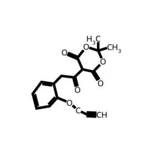 C#CCOc1ccccc1CC(=O)C1C(=O)OC(C)(C)OC1=O